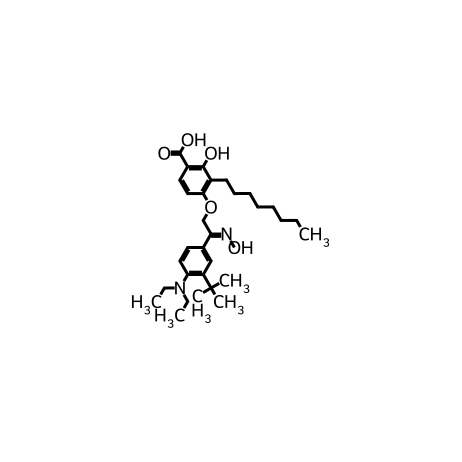 CCCCCCCCc1c(OCC(=NO)c2ccc(N(CC)CC)c(C(C)(C)C)c2)ccc(C(=O)O)c1O